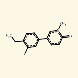 CCc1ccc(-c2ccc(=O)n(C)c2)cc1F